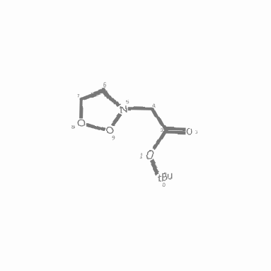 CC(C)(C)OC(=O)CN1CCOO1